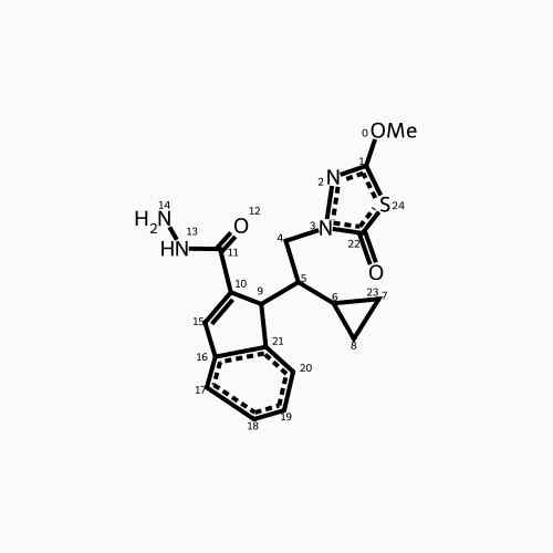 COc1nn(CC(C2CC2)C2C(C(=O)NN)=Cc3ccccc32)c(=O)s1